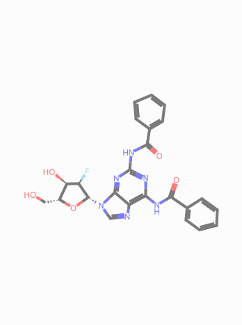 O=C(Nc1nc(NC(=O)c2ccccc2)c2ncn([C@@H]3O[C@H](CO)[C@@H](O)[C@H]3F)c2n1)c1ccccc1